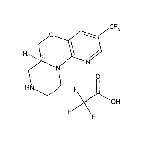 FC(F)(F)c1cnc2c(c1)OC[C@@H]1CNCCN21.O=C(O)C(F)(F)F